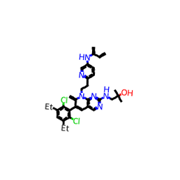 C=CC(=C)Nc1ccc(CCN2C(=C)C(c3c(Cl)c(CC)cc(CC)c3Cl)=Cc3cnc(NCC(C)(C)O)nc32)nc1